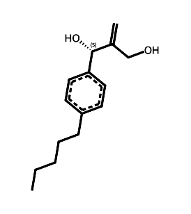 C=C(CO)[C@@H](O)c1ccc(CCCCC)cc1